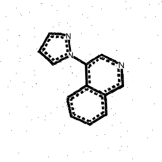 c1ccc2c(-n3cccn3)cncc2c1